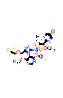 COc1ncnc(OC)c1-n1c(COCC(F)(F)F)nnc1NS(=O)(=O)[C@@H](C)[C@H](OC)c1ncc(Cl)cn1